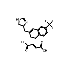 FC(F)(F)c1ccc2c(c1)C=C(CC1CNC=N1)CC2.O=C(O)/C=C/C(=O)O